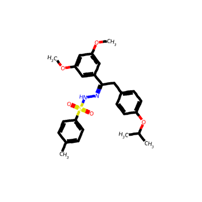 COc1cc(OC)cc(/C(Cc2ccc(OC(C)C)cc2)=N\NS(=O)(=O)c2ccc(C)cc2)c1